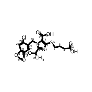 CC(C)c1nc(SCCCC(=O)O)c(C(=O)O)n1Cc1cc2c(cc1Cl)OCO2